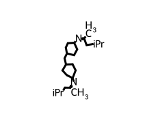 CC(CC(C)C)=NC1CCC(CC2CCC(N=C(C)CC(C)C)CC2)CC1